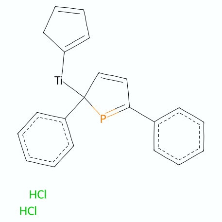 C1=CC[C]([Ti][C]2(c3ccccc3)C=CC(c3ccccc3)=P2)=C1.Cl.Cl